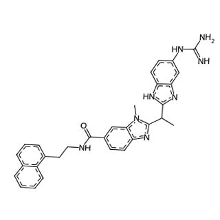 CC(c1nc2cc(NC(=N)N)ccc2[nH]1)c1nc2ccc(C(=O)NCCc3cccc4ccccc34)cc2n1C